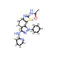 CC(=O)Nc1nc2c(s1)-c1c(c(Nc3ccccn3)nn1-c1ccccc1)CC2